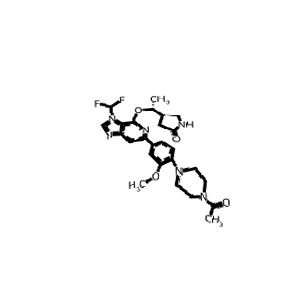 COc1cc(-c2cc3ncn(C(F)F)c3c(O[C@H](C)[C@H]3CNC(=O)C3)n2)ccc1N1CCN(C(C)=O)CC1